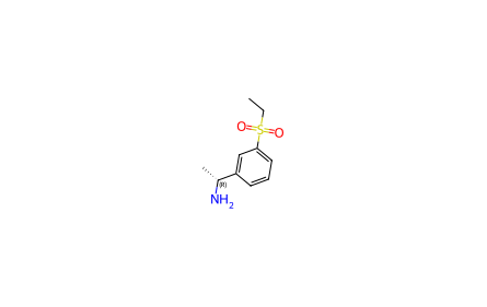 CCS(=O)(=O)c1cccc([C@@H](C)N)c1